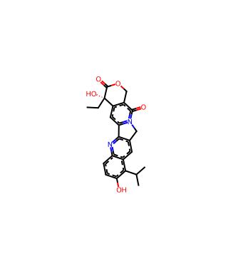 CC[C@@]1(O)C(=O)OCc2c1cc1n(c2=O)Cc2cc3c(C(C)C)c(O)ccc3nc2-1